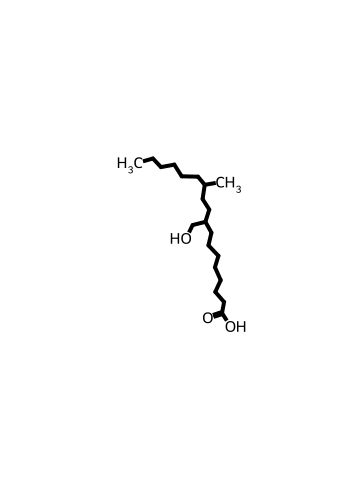 CCCCCCC(C)CCC(CO)CCCCCCCC(=O)O